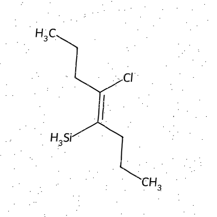 CCCC([SiH3])=C(Cl)CCC